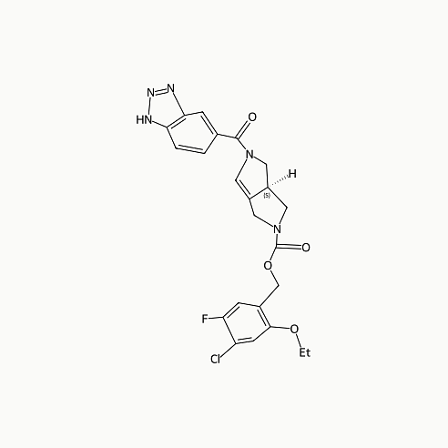 CCOc1cc(Cl)c(F)cc1COC(=O)N1CC2=CN(C(=O)c3ccc4[nH]nnc4c3)C[C@H]2C1